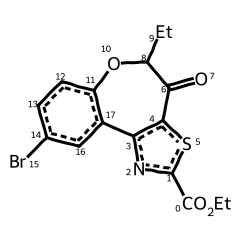 CCOC(=O)c1nc2c(s1)C(=O)C(CC)Oc1ccc(Br)cc1-2